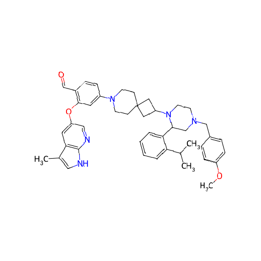 COc1ccc(CN2CCN(C3CC4(CCN(c5ccc(C=O)c(Oc6cnc7[nH]cc(C)c7c6)c5)CC4)C3)C(c3ccccc3C(C)C)C2)cc1